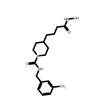 Cc1cccc(CNC(=O)N2CCC(CCCC(=O)NO)CC2)c1